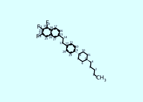 CCCCC[C@H]1CC[C@H](c2ccc(CCc3ccc4c(F)c(F)c(F)cc4c3)cc2)CC1